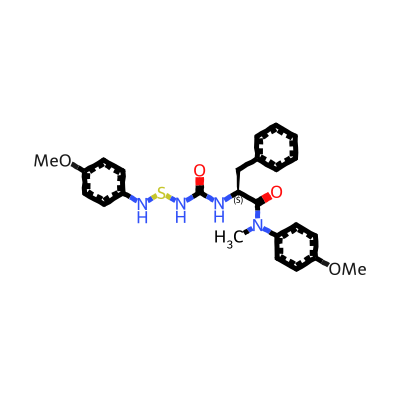 COc1ccc(NSNC(=O)N[C@@H](Cc2ccccc2)C(=O)N(C)c2ccc(OC)cc2)cc1